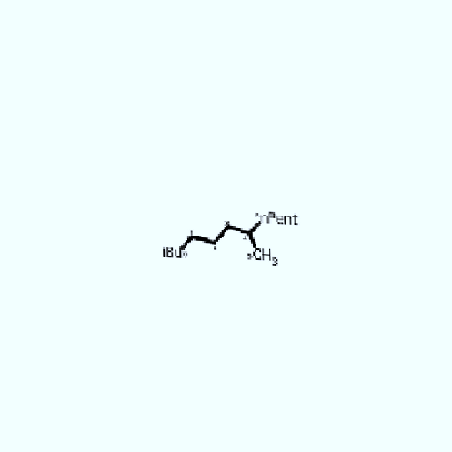 [CH2]CC(C)CCCC(C)CCCCC